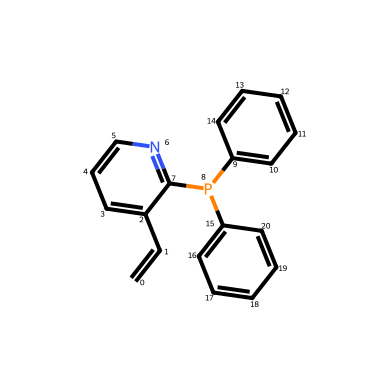 C=Cc1cccnc1P(c1ccccc1)c1ccccc1